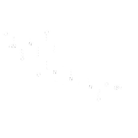 CC(C)(C)OC(=O)N1CC(N2CCN(C(=O)c3ccc(Cl)c(N4CCC(=O)NC4=O)c3)CC2)C1